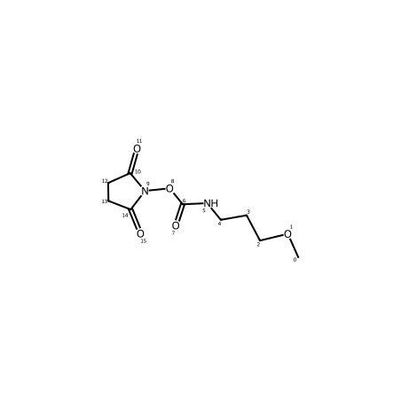 COCCCNC(=O)ON1C(=O)CCC1=O